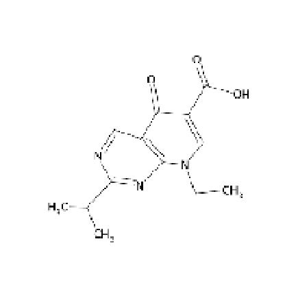 CCn1cc(C(=O)O)c(=O)c2cnc(C(C)C)nc21